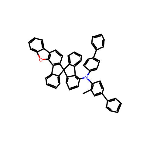 Cc1cc(-c2ccccc2)ccc1N(c1ccc(-c2ccccc2)cc1)c1cccc2c1-c1ccccc1C21c2ccccc2-c2c1ccc1c2oc2ccccc21